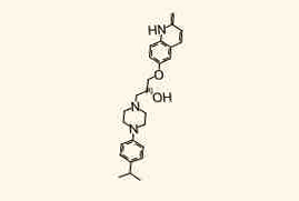 C=C1C=Cc2cc(OC[C@H](O)CN3CCN(c4ccc(C(C)C)cc4)CC3)ccc2N1